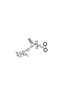 CC(C)(C)OCCOCCOC[C@H](CN=[N+]=[N-])NC(=O)OCC1c2ccccc2-c2ccccc21